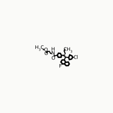 CCC[C@H](c1ccc(C(=O)NCCC(=O)OCC)cc1)C(c1ccc(Cl)cc1)c1ccc(F)c2ccccc12